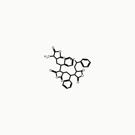 CC(CC1C(=O)OC(=O)C1C(CC1C(=O)OC(=O)C1C(CC1C(=O)OC(=O)C1C)c1ccccc1)c1ccccc1)c1ccccc1